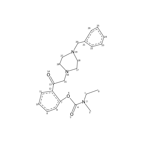 CCN(C)C(=O)Oc1ccccc1C(=O)CN1CCN(Cc2ccccc2)CC1